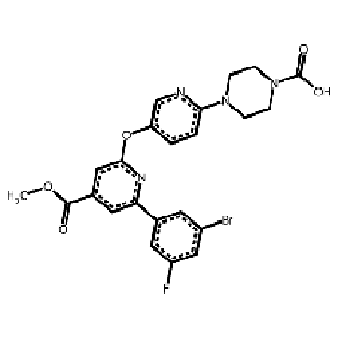 COC(=O)c1cc(Oc2ccc(N3CCN(C(=O)O)CC3)nc2)nc(-c2cc(F)cc(Br)c2)c1